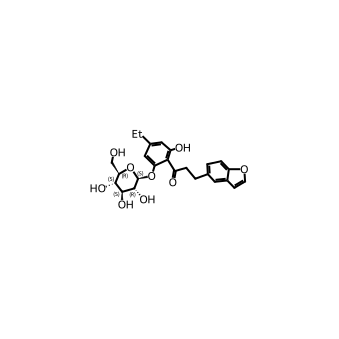 CCc1cc(O)c(C(=O)CCc2ccc3occc3c2)c(O[C@@H]2O[C@H](CO)[C@@H](O)[C@H](O)[C@H]2O)c1